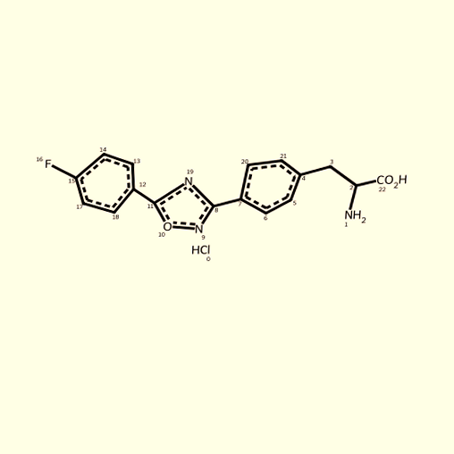 Cl.NC(Cc1ccc(-c2noc(-c3ccc(F)cc3)n2)cc1)C(=O)O